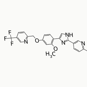 COc1cc(OCc2ccc(C(F)(F)F)cn2)ccc1-c1c[nH]c(-c2ccc(F)nc2)n1